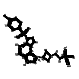 Cc1ccc(S(=O)(=O)n2ccc3c2ncc2ncn([C@H]4C[C@@H](COS(C)(=O)=O)C4)c23)cc1